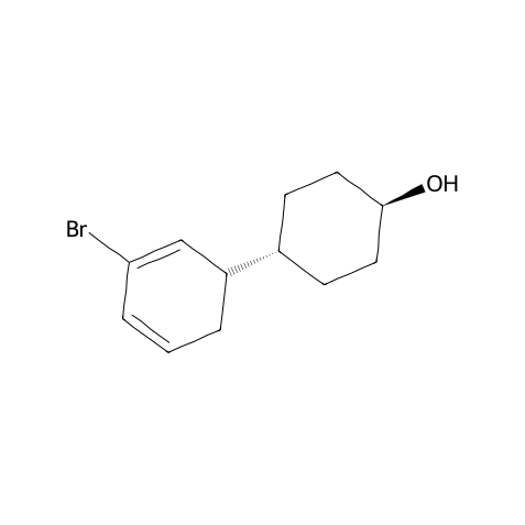 O[C@H]1CC[C@H](C2C=C(Br)C=CC2)CC1